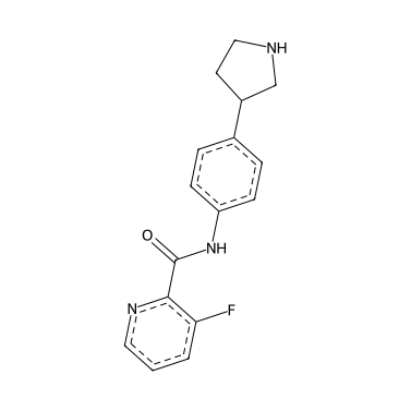 O=C(Nc1ccc(C2CCNC2)cc1)c1ncccc1F